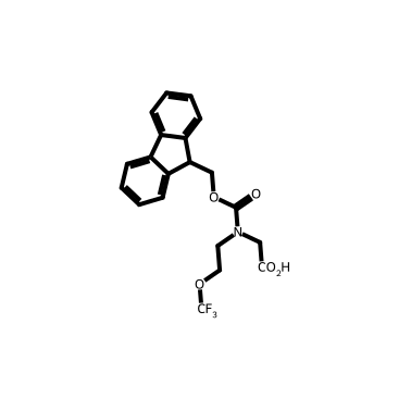 O=C(O)CN(CCOC(F)(F)F)C(=O)OCC1c2ccccc2-c2ccccc21